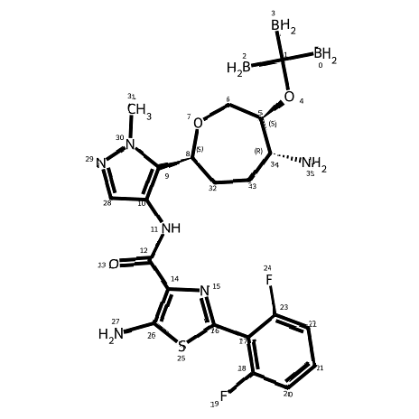 BC(B)(B)O[C@@H]1CO[C@H](c2c(NC(=O)c3nc(-c4c(F)cccc4F)sc3N)cnn2C)CC[C@H]1N